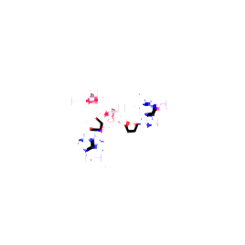 Nc1nc2c(ncn2[C@H]2CC[C@@H](COP(=O)(S)O[C@H]3[C@@H](COP(=O)(O)S)OC[C@]3(O)n3cnc4c(N)ncnc43)O2)c(=O)[nH]1